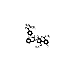 COc1cn(C(Cc2ccccc2)C(=O)Nc2ccc(C(=O)N(C)C)cc2)c(=O)cc1-c1cc(Cl)ccc1C(C)=O